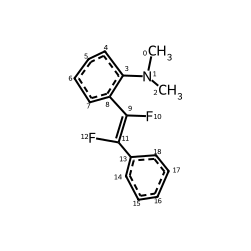 CN(C)c1ccccc1C(F)=C(F)c1ccccc1